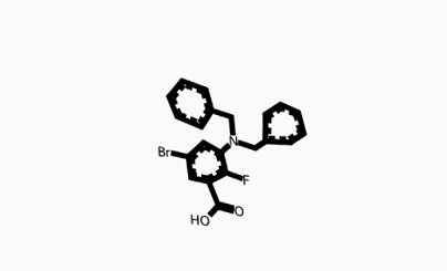 O=C(O)c1cc(Br)cc(N(Cc2ccccc2)Cc2ccccc2)c1F